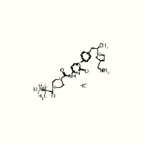 CC(Cc1ccc(-n2ccc(NC(=O)N3CCN(C(=O)C(C)(C)N)CC3)nc2=O)cc1)N1CC[C@@H](CN)C1.Cl